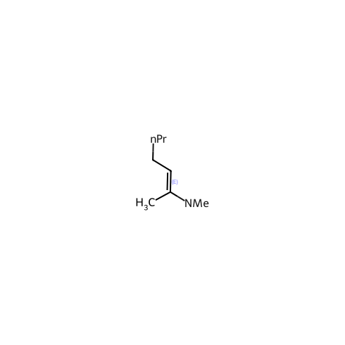 CCCC/C=C(\C)NC